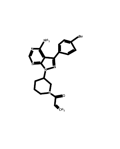 C=CC(=O)N1CCCC(n2nc(-c3ccc(C(C)CC)cc3)c3c(N)ncnc32)C1